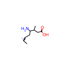 C/C=C\CC(N)C(C)CC(=O)O